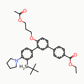 CCOC(=O)c1ccc(-c2ccc(OCCCOC(C)=O)c(-c3ccc(N4CCCC4)c([SiH2]C(C)(C)C)c3)c2)cc1